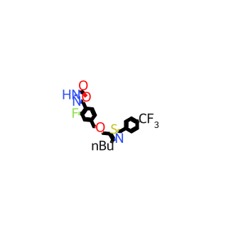 CCCCc1nc(-c2ccc(C(F)(F)F)cc2)sc1COCc1ccc(-c2n[nH]c(=O)o2)c(F)c1